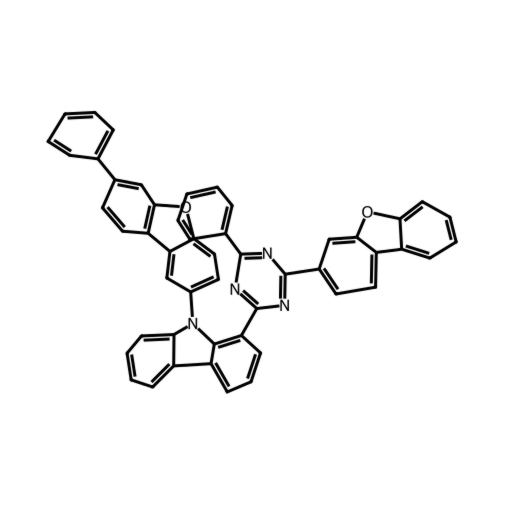 c1ccc(-c2ccc3c(c2)oc2ccc(-n4c5ccccc5c5cccc(-c6nc(-c7ccccc7)nc(-c7ccc8c(c7)oc7ccccc78)n6)c54)cc23)cc1